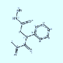 C=C(C)C(=O)N(CC(=O)NCCC)c1ccccc1